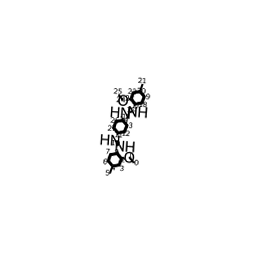 COc1cc(C)ccc1NNc1ccc(NNc2ccc(C)cc2OC)cc1